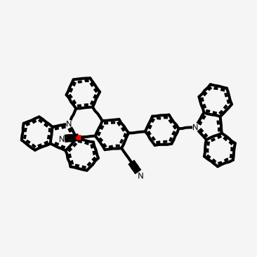 N#Cc1cc(C#N)c(-c2ccccc2-n2c3ccccc3c3ccccc32)cc1-c1ccc(-n2c3ccccc3c3ccccc32)cc1